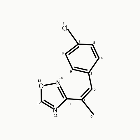 CC(=Cc1ccc(Cl)cc1)c1ncon1